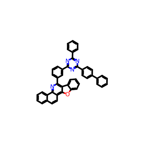 c1ccc(-c2ccc(-c3nc(-c4ccccc4)nc(-c4cccc(-c5nc6c7ccccc7ccc6c6oc7ccccc7c56)c4)n3)cc2)cc1